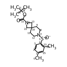 Cc1ccc([S+]([O-])N2CCC3(CC2)CN(C(=O)OC(C)(C)C)C3)c(C)c1